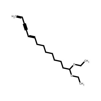 C=CC#CC=CCCCCCCCC(OCC)OCC